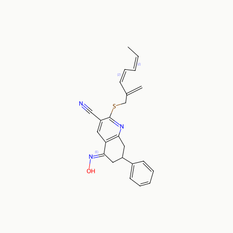 C=C(/C=C\C=C/C)CSc1nc2c(cc1C#N)/C(=N/O)CC(c1ccccc1)C2